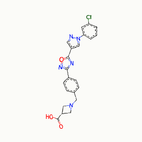 O=C(O)C1CN(Cc2ccc(-c3noc(-c4cnn(-c5cccc(Cl)c5)c4)n3)cc2)C1